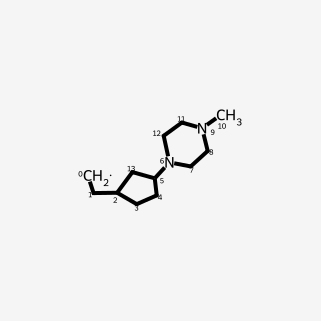 [CH2]CC1CCC(N2CCN(C)CC2)C1